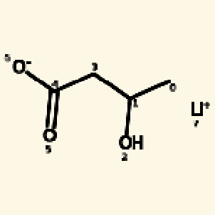 CC(O)CC(=O)[O-].[Li+]